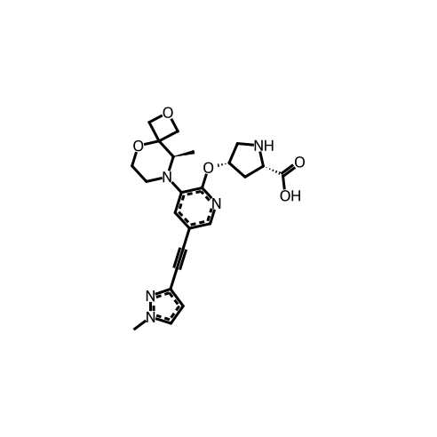 C[C@H]1N(c2cc(C#Cc3ccn(C)n3)cnc2O[C@@H]2CN[C@H](C(=O)O)C2)CCOC12COC2